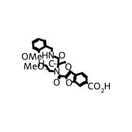 COCCN1C(=O)c2oc3cc(C(=O)O)ccc3c2OC[C@]1(C)C(=O)NCc1ccccc1OC